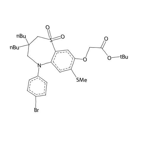 CCCCC1(CCCC)CN(c2ccc(Br)cc2)c2cc(SC)c(OCC(=O)OC(C)(C)C)cc2S(=O)(=O)C1